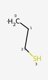 [CH2]C[CH]S